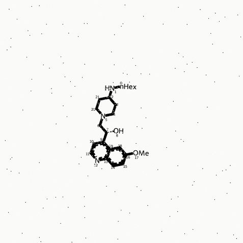 CCCCCCNC1CCN(C[C@H](O)c2ccnc3ccc(OC)cc23)CC1